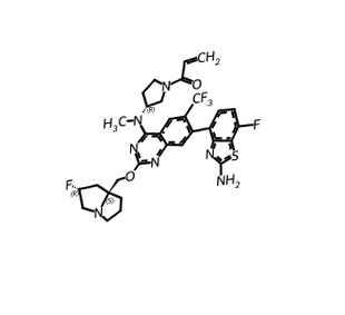 C=CC(=O)N1CC[C@@H](N(C)c2nc(OC[C@@]34CCCN3C[C@H](F)C4)nc3cc(-c4ccc(F)c5sc(N)nc45)c(C(F)(F)F)cc23)C1